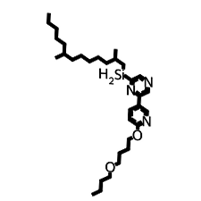 CCCCCC(C)CCCCCC(C)C[SiH2]c1cncc(-c2ccc(OCCCCOCCCC)nc2)n1